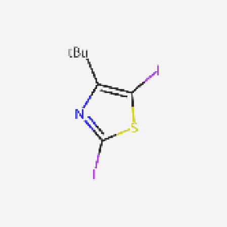 CC(C)(C)c1nc(I)sc1I